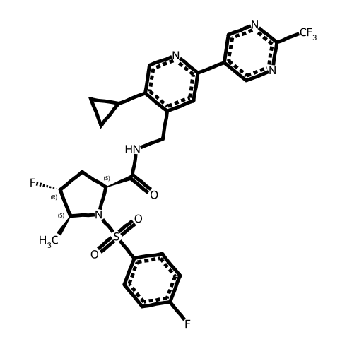 C[C@H]1[C@H](F)C[C@@H](C(=O)NCc2cc(-c3cnc(C(F)(F)F)nc3)ncc2C2CC2)N1S(=O)(=O)c1ccc(F)cc1